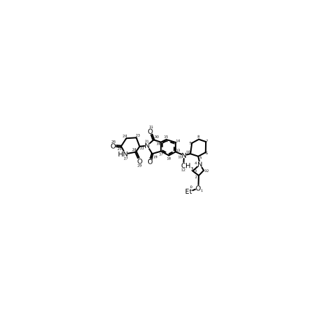 CCOC1CN(C2CCCCC2N(C)c2ccc3c(c2)C(=O)N(C2CCC(=O)NC2=O)C3=O)C1